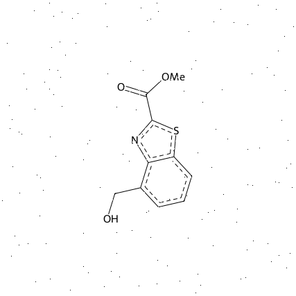 COC(=O)c1nc2c(CO)cccc2s1